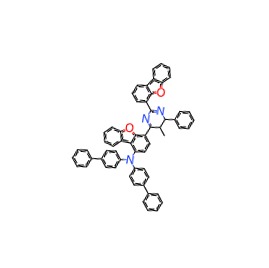 CC1C(c2ccc(N(c3ccc(-c4ccccc4)cc3)c3ccc(-c4ccccc4)cc3)c3c2oc2ccccc23)=NC(c2cccc3c2oc2ccccc23)=NC1c1ccccc1